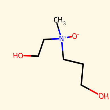 C[N+]([O-])(CCO)CCCO